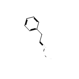 CON=C[CH]c1ccccc1